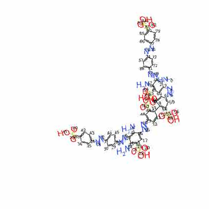 CNc1c(/N=N\c2ccc(-c3ccc(N=Nc4cc(S(=O)(=O)O)c(N)c(/N=N/c5ccc(N=Nc6ccc(S(=O)(=O)O)cc6)cc5)c4N)cc3S(=O)(=O)O)c(S(=O)(=O)O)c2)cc(S(=O)(=O)O)c(N)c1/N=N/c1ccc(N=Nc2ccc(S(=O)(=O)O)cc2)cc1